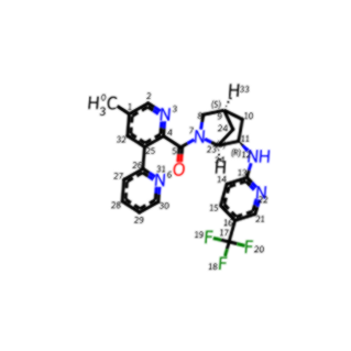 Cc1cnc(C(=O)N2C[C@H]3C[C@@H](Nc4ccc(C(F)(F)F)cn4)[C@@H]2C3)c(-c2ccccn2)c1